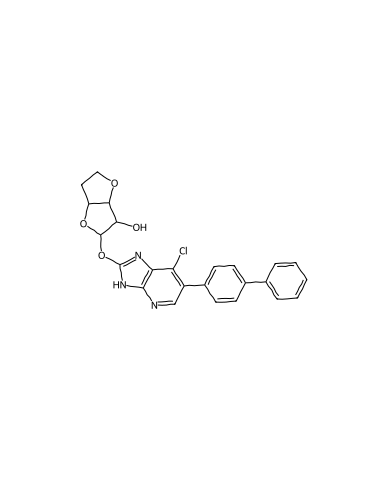 OC1C(Oc2nc3c(Cl)c(-c4ccc(-c5ccccc5)cc4)cnc3[nH]2)OC2CCOC21